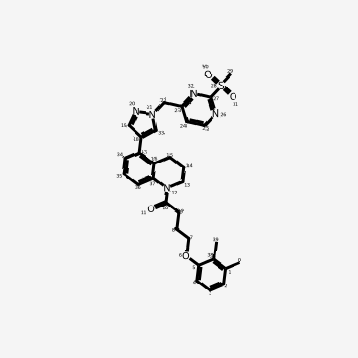 Cc1cccc(OCCCC(=O)N2CCCc3c(-c4cnn(Cc5ccnc(S(C)(=O)=O)n5)c4)cccc32)c1C